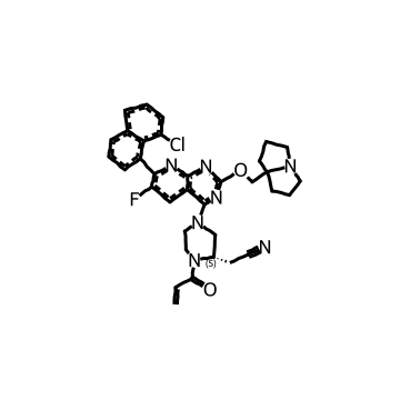 C=CC(=O)N1CCN(c2nc(OCC34CCCN3CCC4)nc3nc(-c4cccc5cccc(Cl)c45)c(F)cc23)C[C@@H]1CC#N